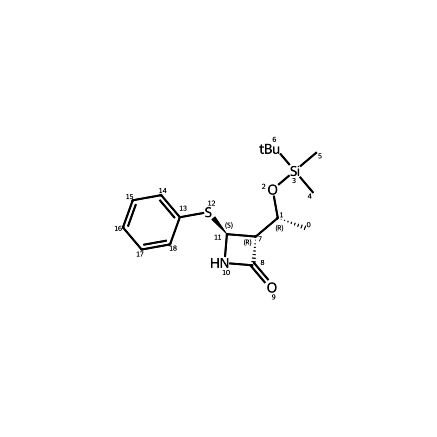 C[C@@H](O[Si](C)(C)C(C)(C)C)[C@@H]1C(=O)N[C@H]1Sc1ccccc1